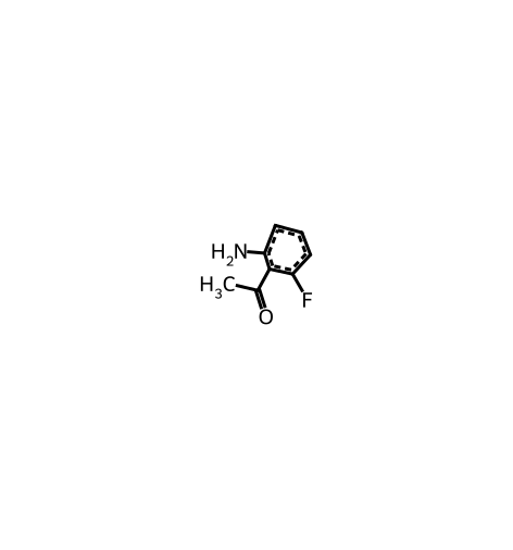 CC(=O)c1c(N)cccc1F